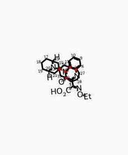 CCON=C(C(=O)O)c1nc2ccccc2n([C@H]2C[C@H]3CCC[C@@H](C2)N3C2CC3CCCCC(C3)C2)c1=O